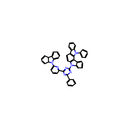 C1=CC2c3ccccc3N(c3cccc(-c4nc(-c5ccccc5)nc(-n5c6ccccc6c6c5ccc5c7ccccc7n(-c7ccccc7)c56)n4)n3)C2C=C1